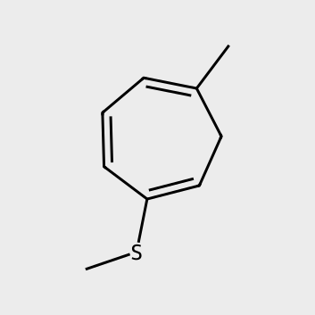 CSC1=CCC(C)=CC=C1